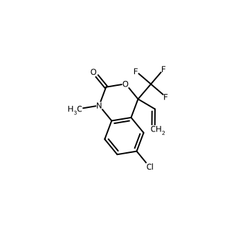 C=CC1(C(F)(F)F)OC(=O)N(C)c2ccc(Cl)cc21